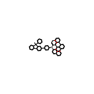 CC1C=C(c2cccc3cccc(-c4ccccc4)c23)C(N(c2ccc(-c3ccc4c(c3)C(C)(c3ccccc3)c3ccccc3-4)cc2)c2ccc3ccccc3c2)=CC1